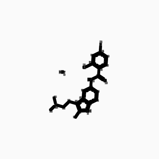 Br.Cc1[nH]c2ccc(NC(=O)c3ccc(F)cc3Cl)cc2c1CCN(C)C